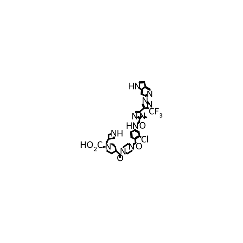 Cn1c(-c2cn(-c3cc4[nH]ccc4cn3)nc2C(F)(F)F)cnc1C(=O)Nc1ccc(C(=O)N2CCN(C(=O)C3CC[N+](CC(=O)O)(CC4CNC4)CC3)CC2)c(Cl)c1